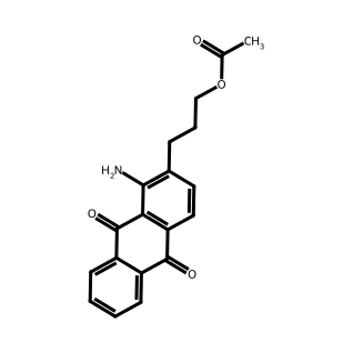 CC(=O)OCCCc1ccc2c(c1N)C(=O)c1ccccc1C2=O